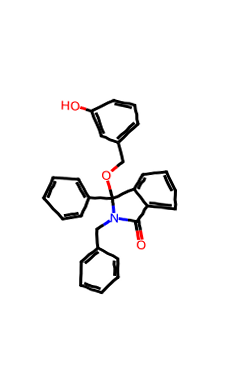 O=C1c2ccccc2C(OCc2cccc(O)c2)(c2ccccc2)N1Cc1ccccc1